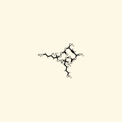 CCCCCC(C)(C)OOC(=O)OC(C)C#CC(C)OC(=O)OOC(C)(C)CCCCC